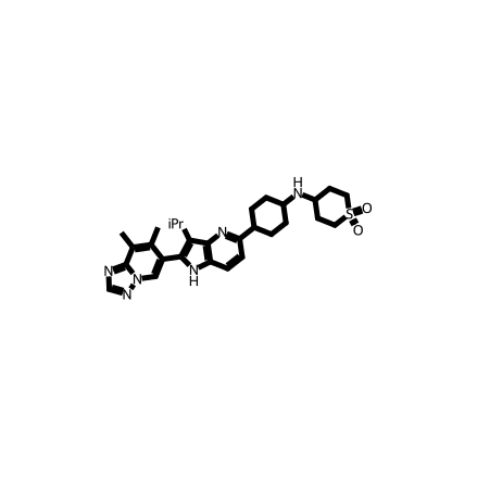 Cc1c(-c2[nH]c3ccc(C4CCC(NC5CCS(=O)(=O)CC5)CC4)nc3c2C(C)C)cn2ncnc2c1C